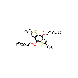 CCCCCCCCCCCCOc1c2cc(C)sc2c(OCCCCCCCCCCCC)c2cc(C)sc12